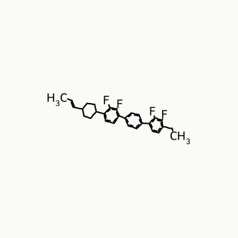 C/C=C/C1CCC(c2ccc(-c3ccc(-c4ccc(CC)c(F)c4F)cc3)c(F)c2F)CC1